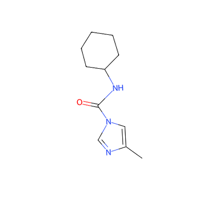 Cc1cn(C(=O)NC2CCCCC2)cn1